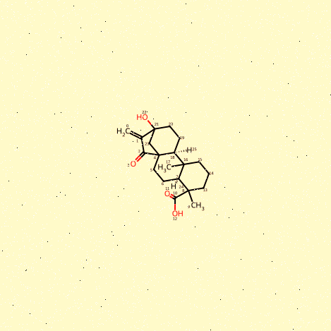 C=C1C(=O)C23CC[C@@H]4C(C)(C(=O)O)CCCC4(C)[C@@H]2CCC1(O)C3